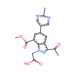 COC(=O)c1cc(-c2cnc(C)nc2)cc2c(C(C)=O)nn(CC(=O)O)c12